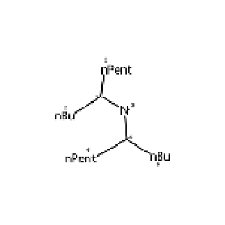 CCCCCC(CCCC)[N]C(CCCC)CCCCC